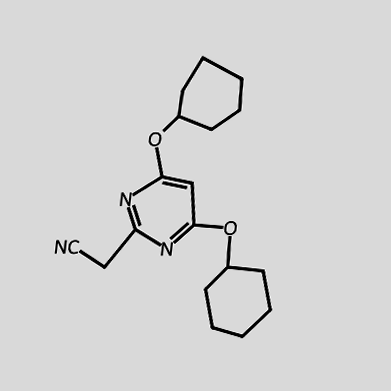 N#CCc1nc(OC2CCCCC2)cc(OC2CCCCC2)n1